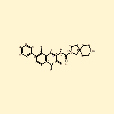 C=C/C(=N\c1c(OC)ccc(-c2ccccc2)c1C)NC(=O)N1CCC2(CCOCC2)C1